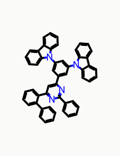 c1ccc(-c2nc(-c3cc(-n4c5ccccc5c5ccccc54)cc(-n4c5ccccc5c5ccccc54)c3)cc(-c3ccccc3-c3ccccc3)n2)cc1